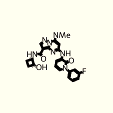 CNc1cc(Nc2cccn(-c3cccc(F)c3)c2=O)nc2c(C(=O)N[C@H]3CC[C@H]3O)cnn12